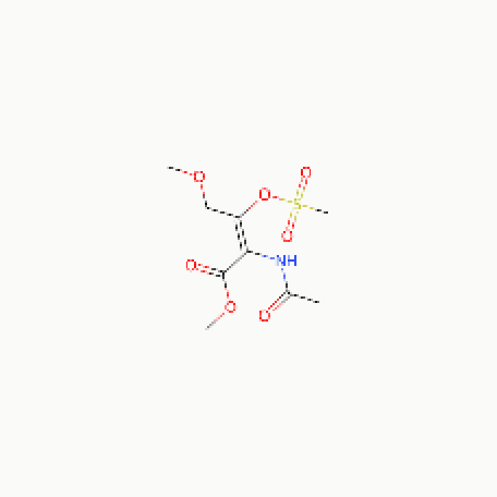 COCC(OS(C)(=O)=O)=C(NC(C)=O)C(=O)OC